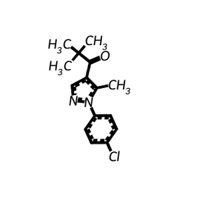 Cc1c(C(=O)C(C)(C)C)cnn1-c1ccc(Cl)cc1